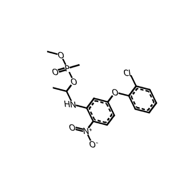 COP(C)(=O)OC(C)Nc1cc(Oc2ccccc2Cl)ccc1[N+](=O)[O-]